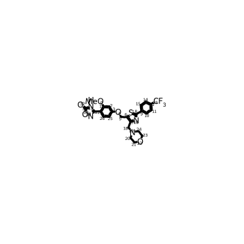 COc1cc(OCc2sc(-c3ccc(C(F)(F)F)cc3)nc2CN2CCOCC2)ccc1-c1noc(=O)[nH]1